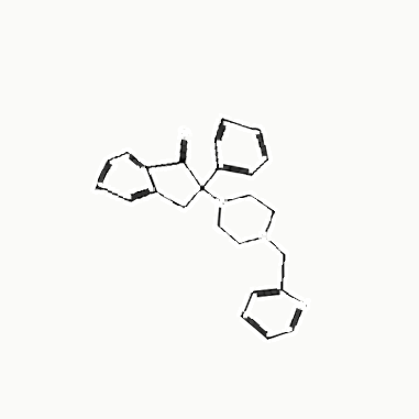 O=C1c2ccccc2CC1(c1ccccc1)N1CCN(Cc2ccccn2)CC1